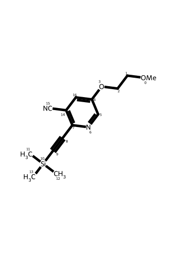 COCCOc1cnc(C#C[Si](C)(C)C)c(C#N)c1